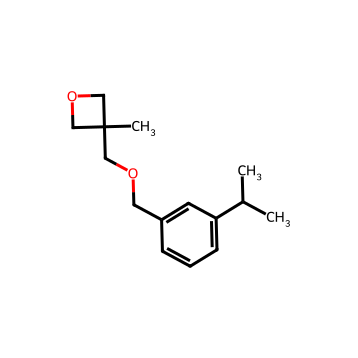 CC(C)c1cccc(COCC2(C)COC2)c1